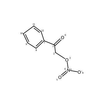 O=C(CO[N+](=O)[O-])c1ccccc1